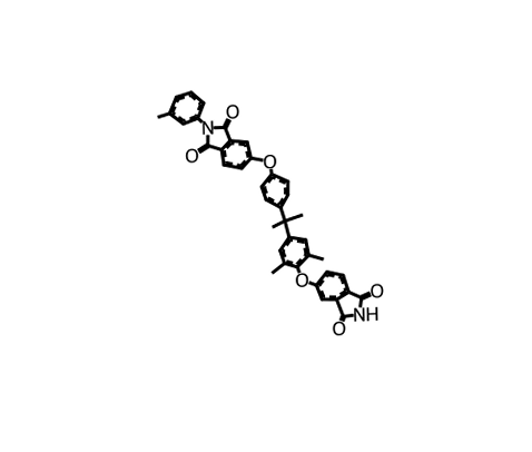 Cc1cccc(N2C(=O)c3ccc(Oc4ccc(C(C)(C)c5cc(C)c(Oc6ccc7c(c6)C(=O)NC7=O)c(C)c5)cc4)cc3C2=O)c1